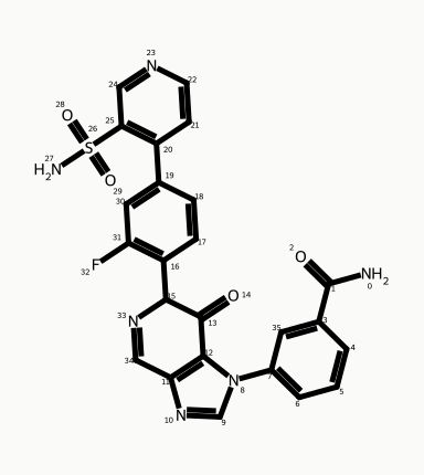 NC(=O)c1cccc(-n2cnc3c2C(=O)C(c2ccc(-c4ccncc4S(N)(=O)=O)cc2F)N=C3)c1